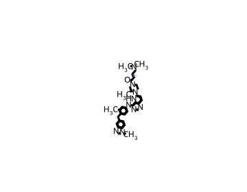 Cc1cc(Nc2ncnc3ccc(N4CCN(C(=O)/C=C/CN(C)C)C[C@@H]4C)nc23)ccc1Cc1ccc2c(c1)ncn2C